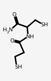 NC(=O)C(CS)NC(=O)CCS